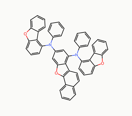 c1ccc(N(c2cc(N(c3ccccc3)c3cccc4oc5ccccc5c34)c3c(c2)oc2c4ccccc4ccc23)c2cccc3oc4ccccc4c23)cc1